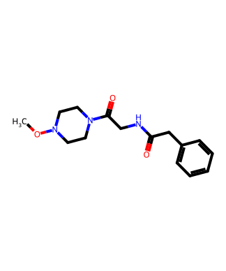 CON1CCN(C(=O)CNC(=O)Cc2ccccc2)CC1